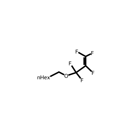 CCCCCCCOC(F)(F)C(F)=C(F)F